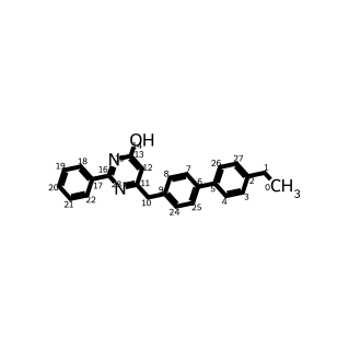 CCc1ccc(-c2ccc(Cc3cc(O)nc(-c4ccccc4)n3)cc2)cc1